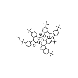 CCCC(C)(C)c1ccc2c(c1)C(c1cc(C(C)(C)C)ccc1OP(=O)(Oc1ccc(C(C)(C)C)cc1C1C(=O)Oc3ccc(C(C)(C)C)cc31)Oc1ccc(C(C)(C)C)cc1C1C(=O)Oc3ccc(C(C)(C)C)cc31)C(=O)O2